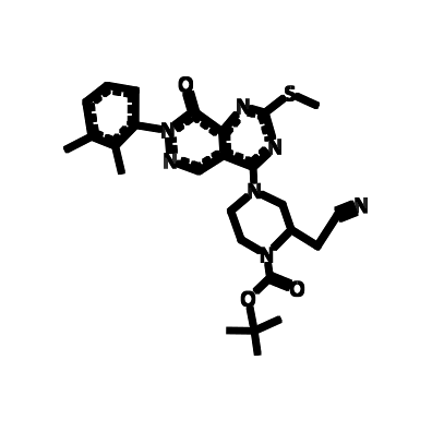 CSc1nc(N2CCN(C(=O)OC(C)(C)C)C(CC#N)C2)c2cnn(-c3cccc(C)c3C)c(=O)c2n1